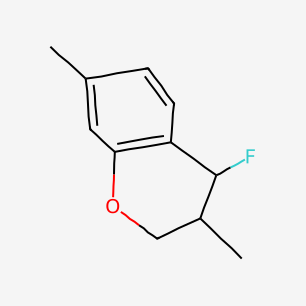 Cc1ccc2c(c1)OCC(C)C2F